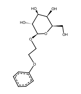 OC[C@H]1O[C@@H](OCCOc2ccccc2)[C@H](O)[C@@H](O)[C@H]1O